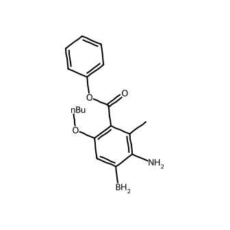 Bc1cc(OCCCC)c(C(=O)Oc2ccccc2)c(C)c1N